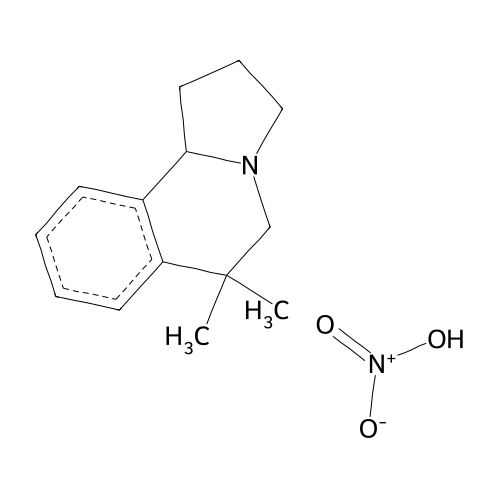 CC1(C)CN2CCCC2c2ccccc21.O=[N+]([O-])O